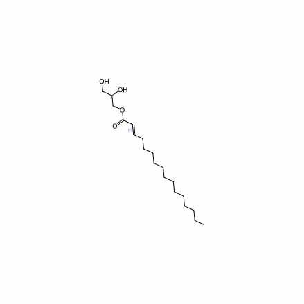 CCCCCCCCCCCCC/C=C/C(=O)OCC(O)CO